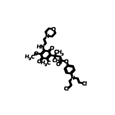 COC1=C(NCCN2CCOCC2)C(=O)C(C(C)(C)CC(=O)Oc2ccc(N(CCCl)CCCl)cc2)=C(C)C1=O